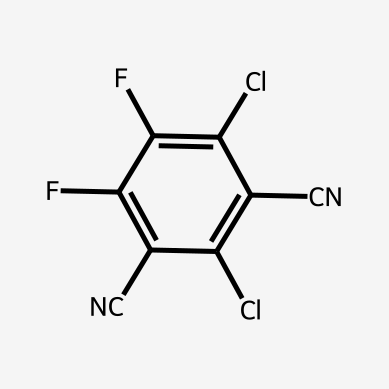 N#Cc1c(F)c(F)c(Cl)c(C#N)c1Cl